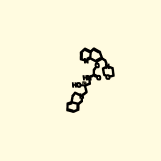 O=C(COc1c(CN2CCOCC2)ccc2cccnc12)NC[C@H](O)CN1CCc2ccccc2C1